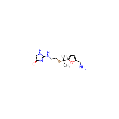 CC(C)(SCCNC1=NC(=O)CN1)c1ccc(CN)o1